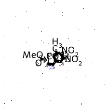 COC(=O)N(/C=C\c1cc(C)c([N+](=O)[O-])c([N+](=O)[O-])c1)C(=O)O